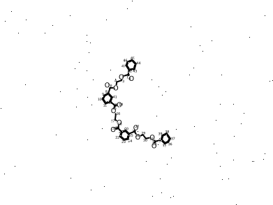 O=C(OCCOC(=O)c1cccc(C(=O)OCCOC(=O)c2cccc(C(=O)OCCOC(=O)c3ccccc3)c2)c1)c1ccccc1